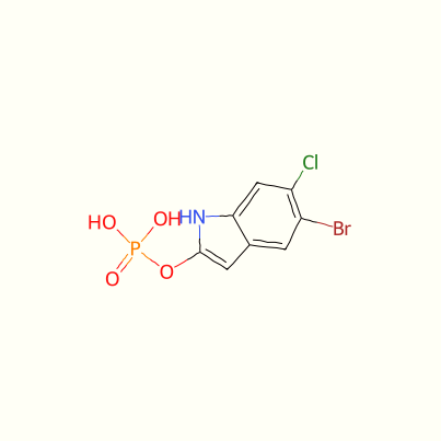 O=P(O)(O)Oc1cc2cc(Br)c(Cl)cc2[nH]1